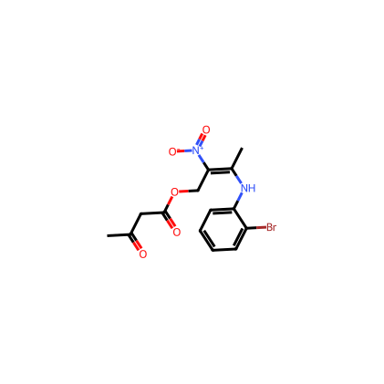 CC(=O)CC(=O)OCC(=C(C)Nc1ccccc1Br)[N+](=O)[O-]